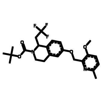 COc1ccc(C)nc1COc1ccc2c(c1)CCN(C(=O)OC(C)(C)C)C2CC(F)(F)F